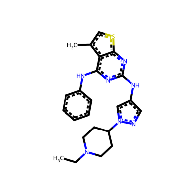 CCN1CCC(n2cc(Nc3nc(Nc4ccccc4)c4c(C)csc4n3)cn2)CC1